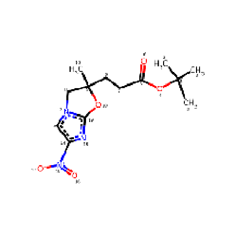 CC(C)(C)OC(=O)CCC1(C)Cn2cc([N+](=O)[O-])nc2O1